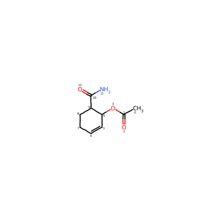 CC(=O)OC1C=CCCC1C(N)=O